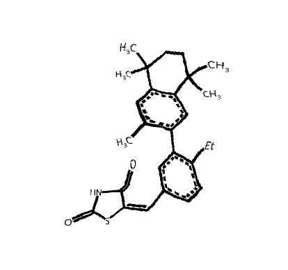 CCc1ccc(C=C2SC(=O)NC2=O)cc1-c1cc2c(cc1C)C(C)(C)CCC2(C)C